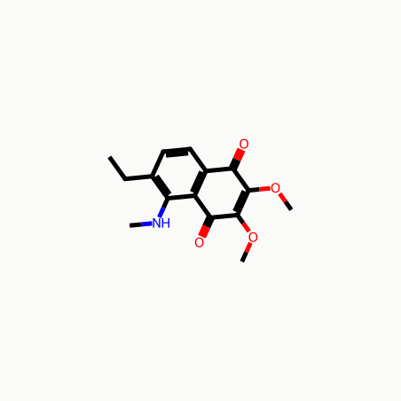 CCc1ccc2c(c1NC)C(=O)C(OC)=C(OC)C2=O